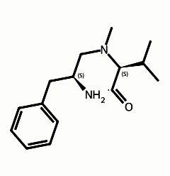 CC(C)[C@@H]([C]=O)N(C)C[C@@H](N)Cc1ccccc1